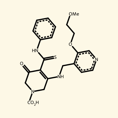 COCCOc1cnccc1CNC1=C(C(=S)Nc2ccccc2)C(=O)CN(C(=O)O)C1